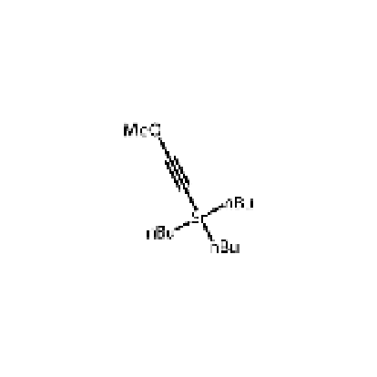 CCC[CH2][Sn]([C]#COC)([CH2]CCC)[CH2]CCC